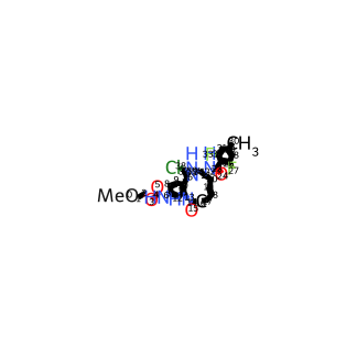 COCCOC(=O)Nc1ccc2c(c1)NC(=O)CC/C=C/C[C@H](NC(=O)c1c(F)cc(C)cc1F)c1nc-2c(Cl)[nH]1